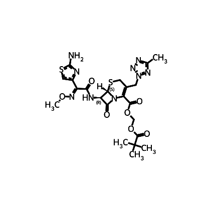 CON=C(C(=O)N[C@@H]1C(=O)N2C(C(=O)OCOC(=O)C(C)(C)C)=C(Cn3nnc(C)n3)CS[C@@H]12)c1csc(N)n1